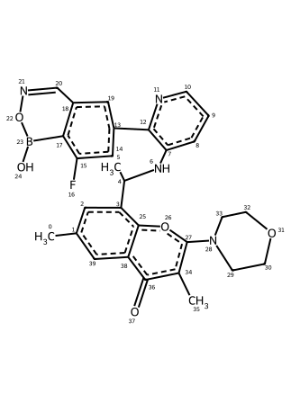 Cc1cc(C(C)Nc2cccnc2-c2cc(F)c3c(c2)C=NOB3O)c2oc(N3CCOCC3)c(C)c(=O)c2c1